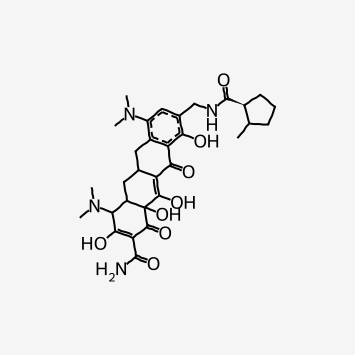 CC1CCC[C@@H]1C(=O)NCc1cc(N(C)C)c2c(c1O)C(=O)C1=C(O)C3(O)C(=O)C(C(N)=O)=C(O)C(N(C)C)C3CC1C2